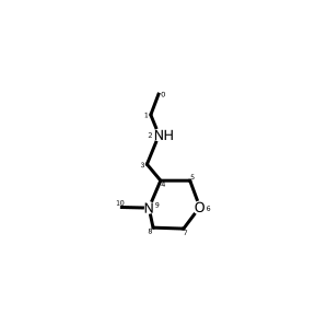 CCNCC1COCCN1C